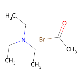 CC(=O)Br.CCN(CC)CC